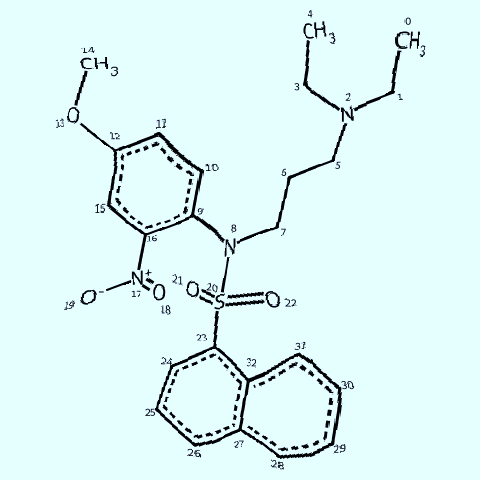 CCN(CC)CCCN(c1ccc(OC)cc1[N+](=O)[O-])S(=O)(=O)c1cccc2ccccc12